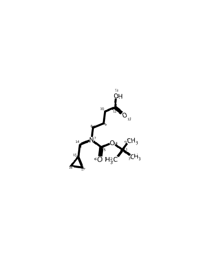 CC(C)(C)OC(=O)N(CCCC(=O)O)CC1CC1